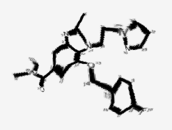 Cc1nc2cc(C(=O)N(C)C)cc(OCc3ccc(F)cc3)c2n1CCn1cccn1